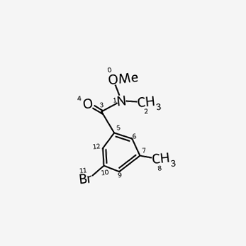 CON(C)C(=O)c1cc(C)cc(Br)c1